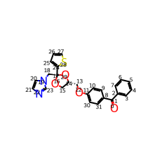 O=C(c1ccccc1)c1ccc(OC[C@@H]2CO[C@](Cn3ccnc3)(c3cccs3)O2)cc1